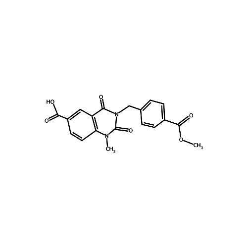 COC(=O)c1ccc(Cn2c(=O)c3cc(C(=O)O)ccc3n(C)c2=O)cc1